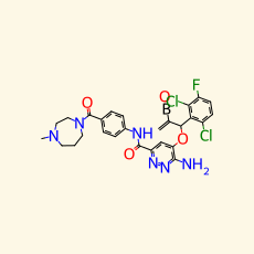 C=C(B=O)C(Oc1cc(C(=O)Nc2ccc(C(=O)N3CCCN(C)CC3)cc2)nnc1N)c1c(Cl)ccc(F)c1Cl